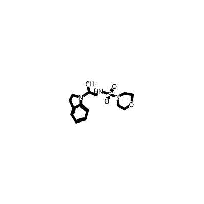 CC(CNS(=O)(=O)N1CCOCC1)N1CCc2ccccc21